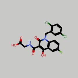 O=C(O)CNC(=O)c1c(O)c2cc(F)ccc2n(Cc2cc(Cl)ccc2Cl)c1=O